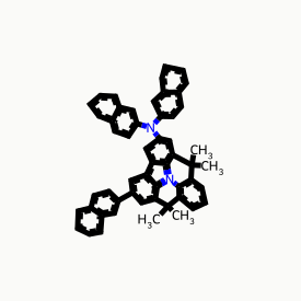 CC1(C)c2cccc3c2-n2c4c1cc(-c1ccc5ccccc5c1)cc4c1cc(N(c4ccc5ccccc5c4)c4ccc5ccccc5c4)cc(c12)C3(C)C